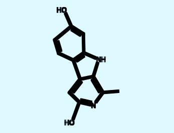 Cc1nc(O)cc2c1[nH]c1cc(O)ccc12